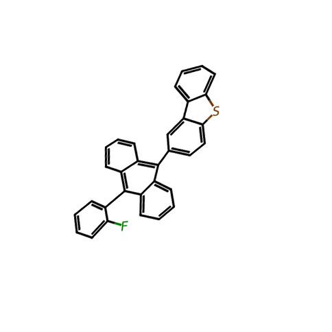 Fc1ccccc1-c1c2ccccc2c(-c2ccc3sc4ccccc4c3c2)c2ccccc12